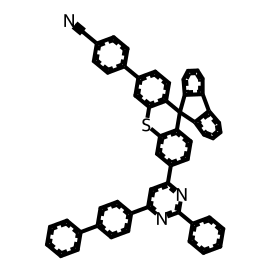 N#Cc1ccc(-c2ccc3c(c2)Sc2cc(-c4cc(-c5ccc(-c6ccccc6)cc5)nc(-c5ccccc5)n4)ccc2C32c3ccccc3-c3ccccc32)cc1